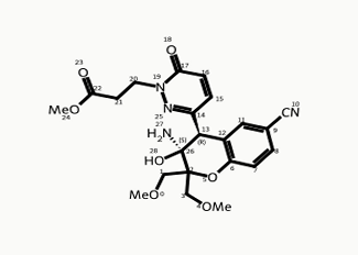 COCC1(COC)Oc2ccc(C#N)cc2[C@H](c2ccc(=O)n(CCC(=O)OC)n2)[C@]1(N)O